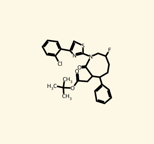 CC(C)(C)OC(=O)CC1C(=O)N(c2nc(-c3ccccc3Cl)cs2)CC(F)CCC1c1ccccc1